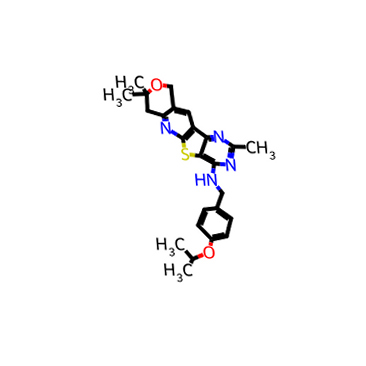 Cc1nc(NCc2ccc(OC(C)C)cc2)c2sc3nc4c(cc3c2n1)COC(C)(C)C4